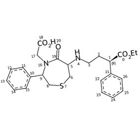 CCOC(=O)[C@H](CCNC1CSCC(c2ccccc2)N(CC(=O)O)C1=O)c1ccccc1